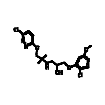 COc1ccc(Cl)c(OCC(O)CNC(C)(C)COc2ccc(Cl)nn2)c1